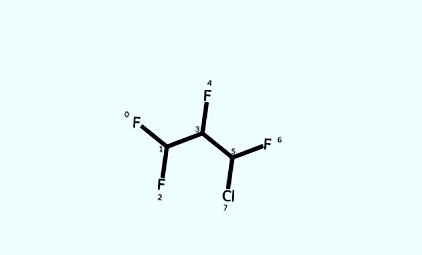 FC(F)C(F)C(F)Cl